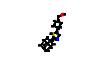 O=Cc1ccc(-c2cnc(C34CC5CC6CC(C3)C54C6)s2)cc1